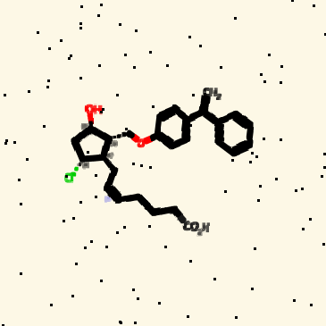 C=C(c1ccccc1)c1ccc(OC[C@@H]2[C@@H](C/C=C\CCCC(=O)O)[C@H](Cl)C[C@H]2O)cc1